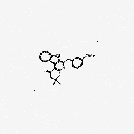 COc1cccc(Cc2nc3c(c4c2[nH]c2ccccc24)C(=O)CC(C)(C)C3)c1